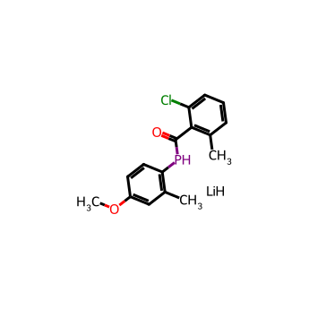 COc1ccc(PC(=O)c2c(C)cccc2Cl)c(C)c1.[LiH]